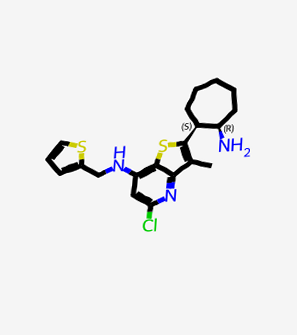 Cc1c([C@H]2CCCCC[C@H]2N)sc2c(NCc3cccs3)cc(Cl)nc12